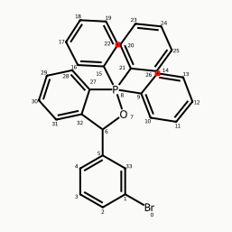 Brc1cccc(C2OP(c3ccccc3)(c3ccccc3)(c3ccccc3)c3ccccc32)c1